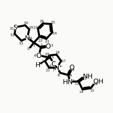 CC(C(=O)O[C@H]1C[N+]2(CC(=O)NC(=N)/C=C\O)CCC1CC2)(c1ccccc1)N1CCSCC1